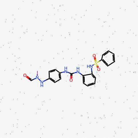 O=CN(I)Nc1ccc(NC(=O)Nc2ccccc2NS(=O)(=O)c2ccccc2)cc1